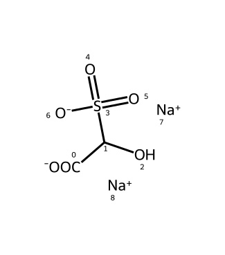 O=C([O-])C(O)S(=O)(=O)[O-].[Na+].[Na+]